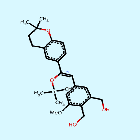 COc1cc(/C=C(\O[Si](C)(C)C)c2ccc3c(c2)CCC(C)(C)O3)cc(CO)c1CO